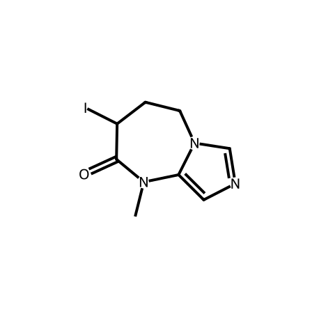 CN1C(=O)C(I)CCn2cncc21